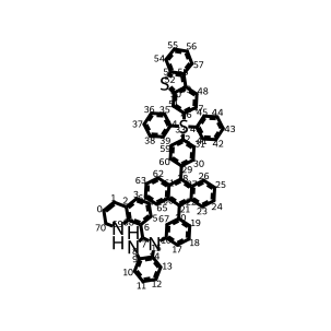 C1=Cc2cccc(C3Nc4ccccc4N3c3cccc(-c4c5ccccc5c(-c5ccc(S(c6ccccc6)(c6ccccc6)c6ccc7c(c6)sc6ccccc67)cc5)c5ccccc45)c3)c2NC1